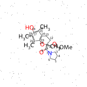 COC(=O)[C@@H]1CCCN1C(=O)C1(C)CCc2c(C)c(O)c(C)c(C)c2O1